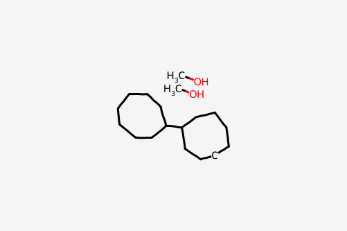 C1CCCC(C2CCCCCCC2)CCC1.CO.CO